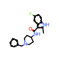 Cc1[nH]c2ccc(F)cc2c1C(=O)NC1CCN(Cc2ccccc2)CC1